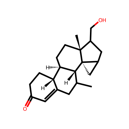 CC1CC2=CC(=O)CC[C@@H]2[C@H]2CC[C@]3(C)C(CO)CC4C[C@@]43[C@H]12